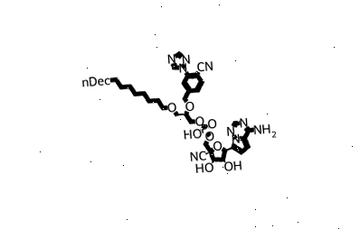 CCCCCCCCCCCCCCCCCCOC[C@H](COP(=O)(O)OC[C@@]1(C#N)O[C@@H](c2ccc3c(N)ncnn23)[C@H](O)[C@@H]1O)OCc1ccc(C#N)c(-n2cncn2)c1